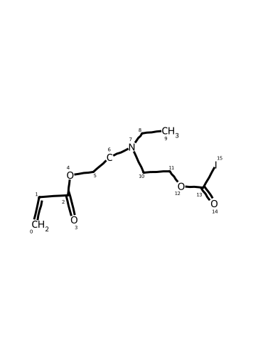 C=CC(=O)OCCN(CC)CCOC(=O)I